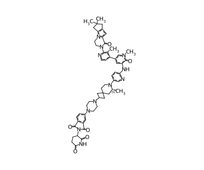 Cc1c(-c2cc(Nc3ccc(N4CCC5(CC(N6CCN(c7ccc8c(c7)C(=O)N(C7CCC(=O)NC7=O)C8=O)CC6)C5)C[C@@H]4C)cn3)c(=O)n(C)c2)ccnc1N1CCn2c(cc3c2CC(C)(C)C3)C1=O